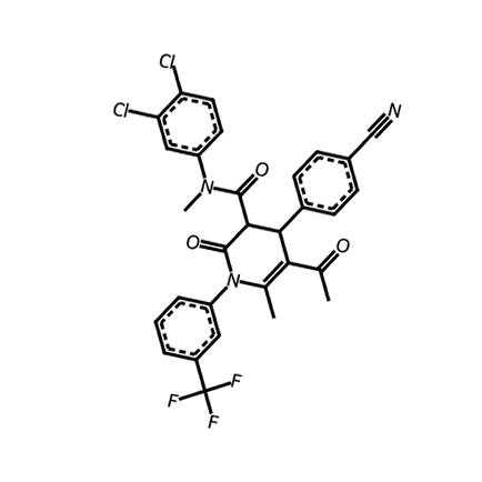 CC(=O)C1=C(C)N(c2cccc(C(F)(F)F)c2)C(=O)C(C(=O)N(C)c2ccc(Cl)c(Cl)c2)C1c1ccc(C#N)cc1